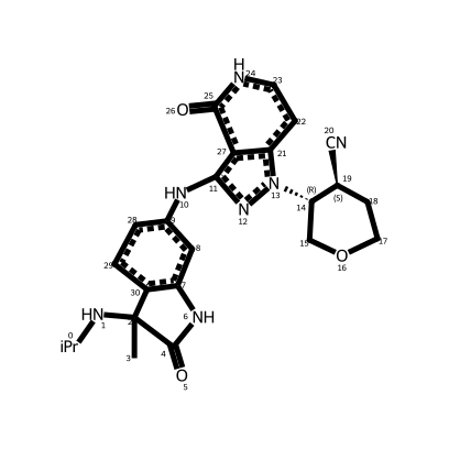 CC(C)NC1(C)C(=O)Nc2cc(Nc3nn([C@H]4COCC[C@@H]4C#N)c4cc[nH]c(=O)c34)ccc21